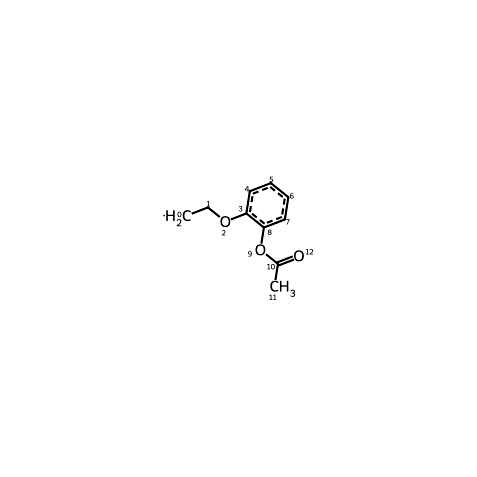 [CH2]COc1ccccc1OC(C)=O